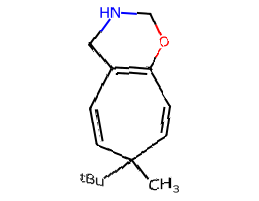 CC(C)(C)C1(C)C=CC2=C(C=C1)OCNC2